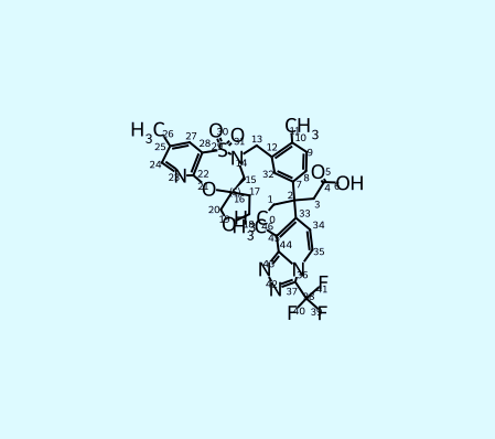 CCC(CC(=O)O)(c1ccc(C)c(CN2C[C@]3(CCOC3)Oc3ncc(C)cc3S2(=O)=O)c1)c1ccn2c(C(F)(F)F)nnc2c1C